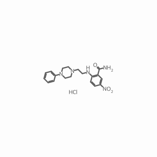 Cl.NC(=O)c1cc([N+](=O)[O-])ccc1NCCN1CCN(c2ccccc2)CC1